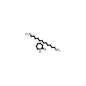 NCCCCCCCCCCCCN.O=C1CCCCCN1